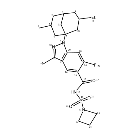 CCC1CC2CC(C)CC(n3nc(C)c4cc(C(=O)NS(=O)(=O)N5CCC5)c(F)cc43)(C1)C2